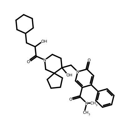 CN(C)C(=O)c1cn(CC2(O)CCN(C(=O)C(O)CC3CCCCC3)CC23CCCC3)c(=O)cc1-c1ccccc1